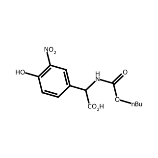 CCCCOC(=O)NC(C(=O)O)c1ccc(O)c([N+](=O)[O-])c1